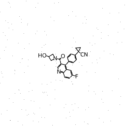 N#CC1(c2ccc(-c3c(C(=O)N4CC(O)C4)cnc4ccc(F)cc34)cc2)CC1